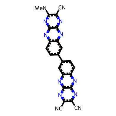 CNc1nc2nc3ccc(-c4ccc5nc6nc(C#N)c(C#N)nc6nc5c4)cc3nc2nc1C#N